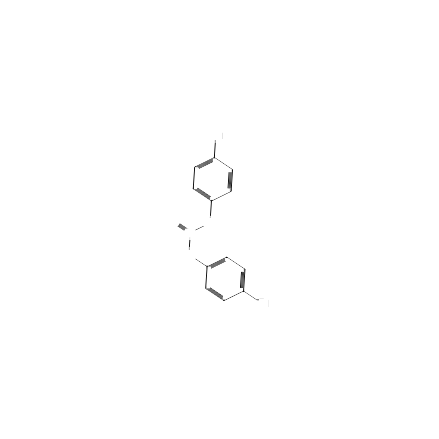 CCc1ccc(OS(=O)Oc2ccc(CC)cc2)cc1